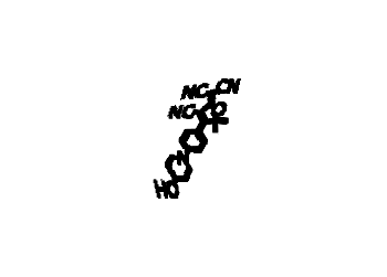 CC1(C)OC(=C(C#N)C#N)C(C#N)=C1c1ccc(N2CCC(O)CC2)cc1